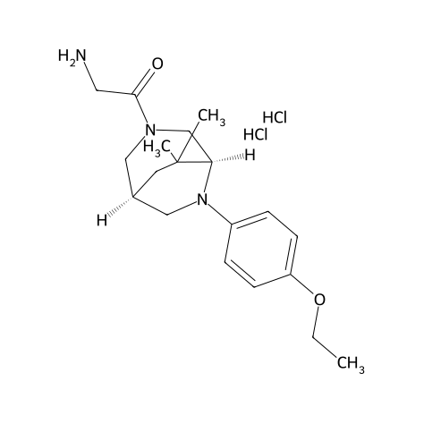 CCOc1ccc(N2C[C@H]3CN(C(=O)CN)C[C@@H]2C(C)(C)C3)cc1.Cl.Cl